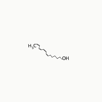 C\C=C/C=C\C=C/C=C\CCCCCCO